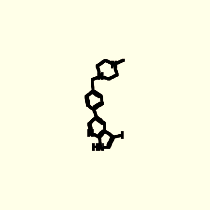 CN1CCN(Cc2ccc(-c3cnc4[nH]cc(I)c4c3)cc2)CC1